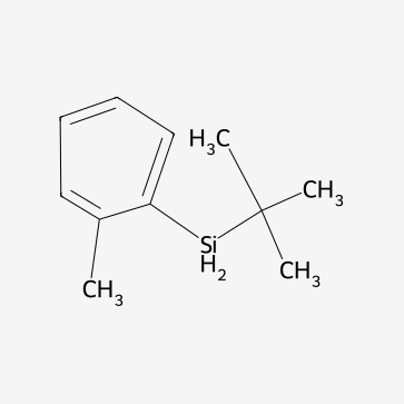 Cc1ccccc1[SiH2]C(C)(C)C